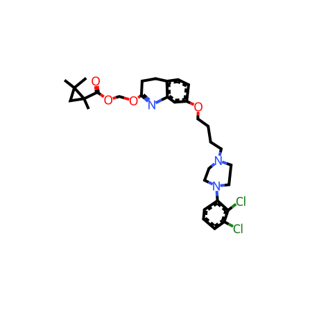 CC1(C)CC1(C)C(=O)OCOC1=Nc2cc(OCCCCN3CCN(c4cccc(Cl)c4Cl)CC3)ccc2CC1